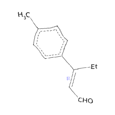 CC/C(=C\C=O)c1ccc(C)cc1